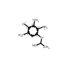 C[C](O)Oc1cc(C)c(Cl)c(C)c1N